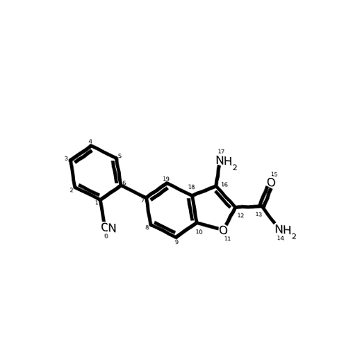 N#Cc1ccccc1-c1ccc2oc(C(N)=O)c(N)c2c1